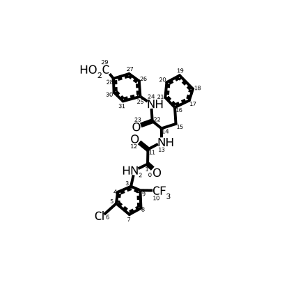 O=C(Nc1cc(Cl)ccc1C(F)(F)F)C(=O)NC(Cc1ccccc1)C(=O)Nc1ccc(C(=O)O)cc1